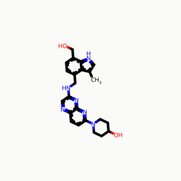 Cc1c[nH]c2c(CO)ccc(CNc3cnc4ccc(N5CCC(O)CC5)nc4n3)c12